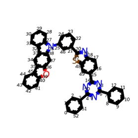 c1ccc(-c2nc(-c3ccccc3)nc(-c3ccc4nc(-c5cccc(-n6c7ccccc7c7cc8c(cc76)oc6ccccc68)c5)sc4c3)n2)cc1